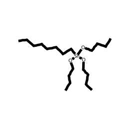 CCCCCCC[CH2][Sn]([O]CCCC)([O]CCCC)[O]CCCC